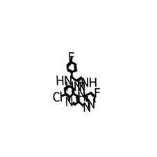 N#Cc1cnc2c(Cl)cc(N[C@H](C3=CNNN3)c3ccc(F)cc3)cc2c1Nc1cncc(F)c1